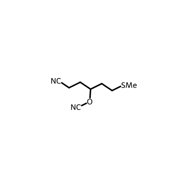 CSCCC(CCC#N)OC#N